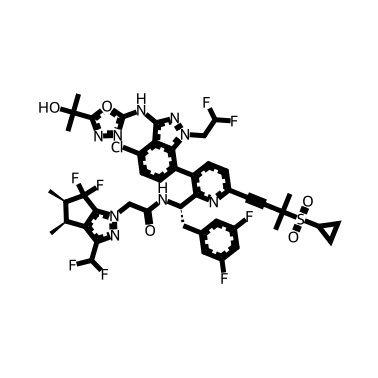 C[C@@H]1c2c(C(F)F)nn(CC(=O)N[C@@H](Cc3cc(F)cc(F)c3)c3nc(C#CC(C)(C)S(=O)(=O)C4CC4)ccc3-c3ccc(Cl)c4c(Nc5nnc(C(C)(C)O)o5)nn(CC(F)F)c34)c2C(F)(F)[C@@H]1C